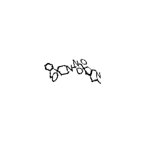 CC1CC2=C(C=N1)CC1(C2)OC(N2CCC3(CC2)OCc2ccccc23)=NC1=O